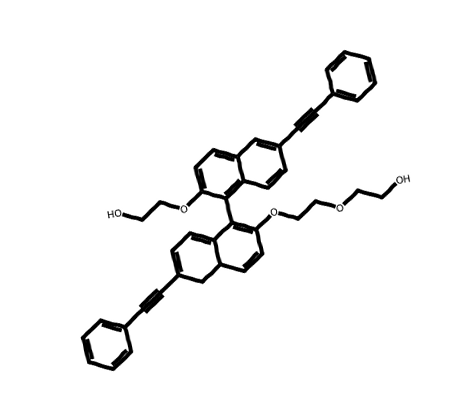 OCCOCCOC1=C(c2c(OCCO)ccc3cc(C#Cc4ccccc4)ccc23)C2=CC=C(C#Cc3ccccc3)CC2C=C1